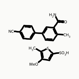 COc1cc(S(=O)(=O)O)sc1C.Cc1ccc(-c2ccc(C#N)cc2)cc1C(N)=O